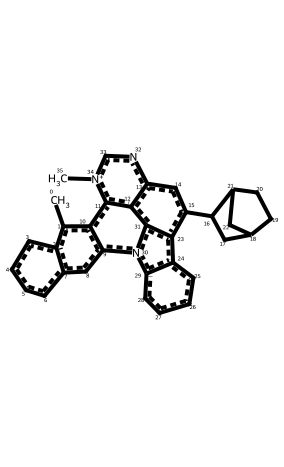 Cc1c2ccccc2cc2c1c1c3c(cc(C4CC5CCC4C5)c4c5ccccc5n2c43)nc[n+]1C